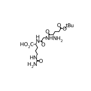 CC(C)(C)OC(=O)CC[C@H](N)C(=O)NCC(=O)N[C@@H](CCCNC(N)=O)C(=O)O